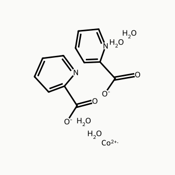 O.O.O.O.O=C([O-])c1ccccn1.O=C([O-])c1ccccn1.[Co+2]